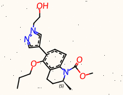 CCCOc1c(-c2cnn(CCO)c2)ccc2c1CC[C@H](C)N2C(=O)OC